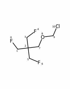 FCC(CF)(CF)COCCl